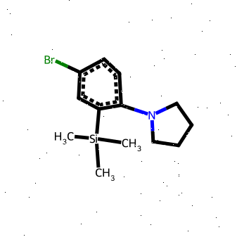 C[Si](C)(C)c1cc(Br)ccc1N1CCCC1